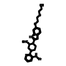 CC(C)Nc1cccnc1N1CCN(c2cc3ccc(OCCOCCO)cc3[nH]2)C(C=O)C1